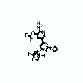 Nc1ncc(-c2cc(N3C[C@@H]4C[C@H]3CO4)nc(N3CCC3)n2)cc1OC(F)F